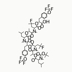 CC(C)CC(C(=O)OC(C)C(=O)N(C)C(CC(C)(C)F)C(=O)OC(Cc1ccc(OC(F)(F)F)cc1)C(=O)N(C)C(CC(C)C)C(=O)OC(C)C(=O)N(C)C(CC(C)(C)F)C(=O)OC(Cc1ccc(OC(F)(F)F)cc1)C(=O)O)N(C)C(=O)OC(C)(C)C